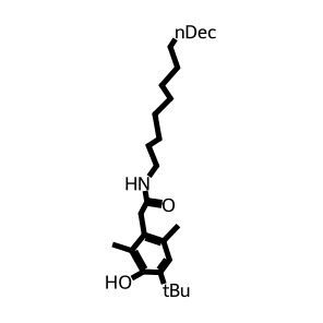 CCCCCCCCCCCCCCCCCCNC(=O)Cc1c(C)cc(C(C)(C)C)c(O)c1C